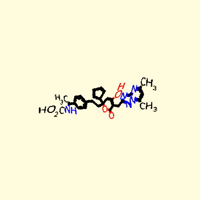 Cc1cc(C)n2nc(CC3=C(O)CC(CCc4ccc(C(C)NC(=O)O)cc4)(C4CCCC4)OC3=O)nc2n1